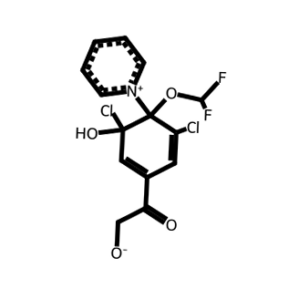 O=C(C[O-])C1=CC(O)(Cl)C(OC(F)F)([n+]2ccccc2)C(Cl)=C1